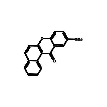 COc1ccc2oc3ccc4ccccc4c3c(=O)c2c1